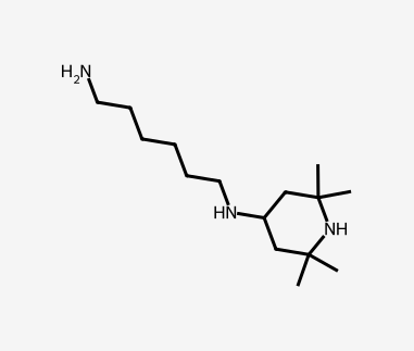 CC1(C)CC(NCCCCCCN)CC(C)(C)N1